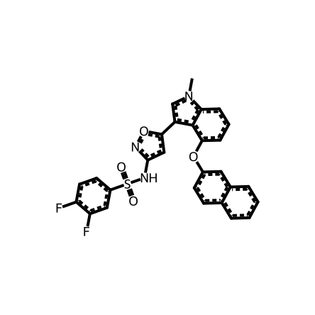 Cn1cc(-c2cc(NS(=O)(=O)c3ccc(F)c(F)c3)no2)c2c(Oc3ccc4ccccc4c3)cccc21